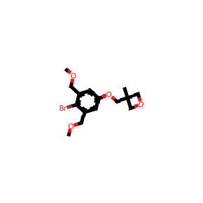 COCc1cc(OCC2(C)COC2)cc(COC)c1Br